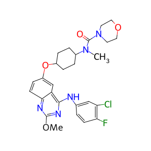 COc1nc(Nc2ccc(F)c(Cl)c2)c2cc(OC3CCC(N(C)C(=O)N4CCOCC4)CC3)ccc2n1